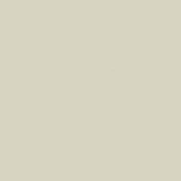 CCC(Oc1ccc(C(=O)c2cccs2)cc1Br)C(=O)O